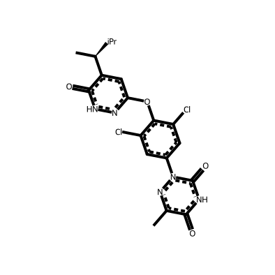 Cc1nn(-c2cc(Cl)c(Oc3cc([C@@H](C)C(C)C)c(=O)[nH]n3)c(Cl)c2)c(=O)[nH]c1=O